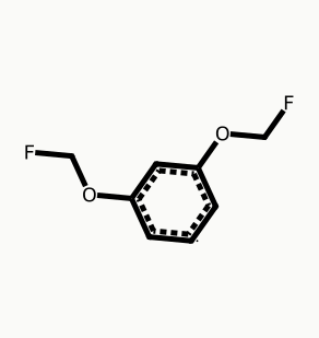 FCOc1c[c]cc(OCF)c1